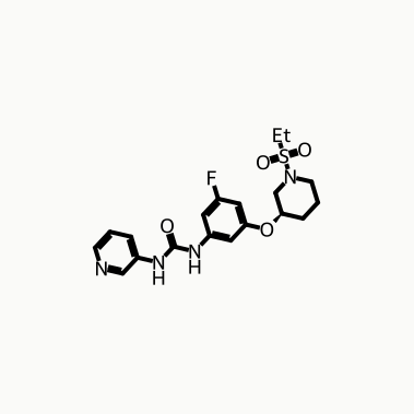 CCS(=O)(=O)N1CCC[C@@H](Oc2cc(F)cc(NC(=O)Nc3cccnc3)c2)C1